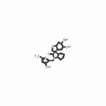 O=C1N(Cc2sc(C(F)(F)F)cc2O)c2ccccc2C12COc1cc(O)c(O)cc12